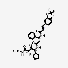 CC(C)[C@@H](C(=O)NC=O)C(=O)[C@@H](NC(=O)C[C@H](NC(=O)/C=C/c1ccc2c(c1)OC(F)(F)O2)c1ccccc1)C1CCCC1